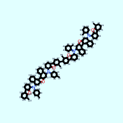 Cc1ccc(N(c2cc3oc4cc(N(c5ccc(C)cc5)c5cccc6c5oc5c(C)c(-c7ccc8c(oc9c(N(c%10ccccc%10C)c%10cc%11oc%12cc(N(c%13ccccc%13C)c%13cccc%14c%13oc%13c(C)cccc%13%14)c%13ccccc%13c%12c%11c%11ccccc%10%11)cccc98)c7C)ccc56)c5ccccc5c4c3c3ccccc23)c2cccc3c2oc2c(C)cccc23)cc1